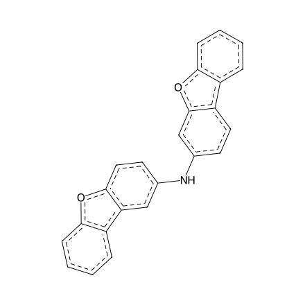 c1ccc2c(c1)oc1cc(Nc3ccc4oc5ccccc5c4c3)ccc12